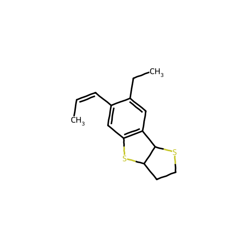 C/C=C\c1cc2c(cc1CC)C1SCCC1S2